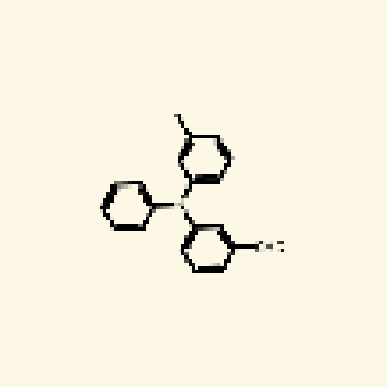 Cc1cccc(N(c2ccccc2)c2cccc(C=O)c2)c1